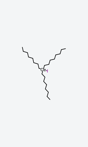 CCCCCCC[CH2][Ge]([I])([CH2]CCCCCCC)[CH2]CCCCCCC